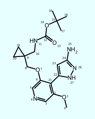 COc1cncc(OCC2(CNC(=O)OC(C)(C)C)CC2)c1-c1cc(N)n[nH]1